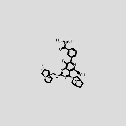 C#Cc1nc(-c2cccc(C(=O)N(C)C)c2)c(F)c2nc(OC[C@@]34CCCN3C[C@H](F)C4)nc(N3CC4CCC(C3)N4)c12